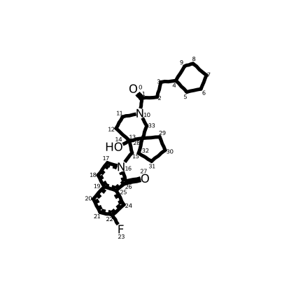 O=C(CCC1CCCCC1)N1CCC(O)(Cn2ccc3ccc(F)cc3c2=O)C2(CCCC2)C1